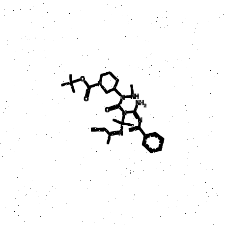 C=C/C(C)=N\C(C)(C)N(C(=O)N(NC)C1CCCN(C(=O)OC(C)(C)C)C1)/C(N)=N\C(=C)c1ccccc1